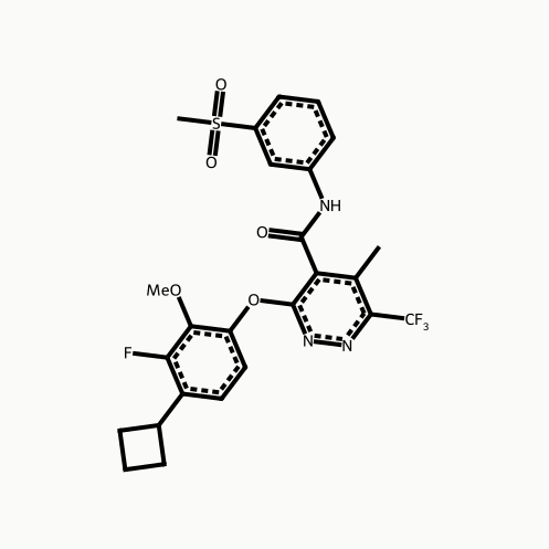 COc1c(Oc2nnc(C(F)(F)F)c(C)c2C(=O)Nc2cccc(S(C)(=O)=O)c2)ccc(C2CCC2)c1F